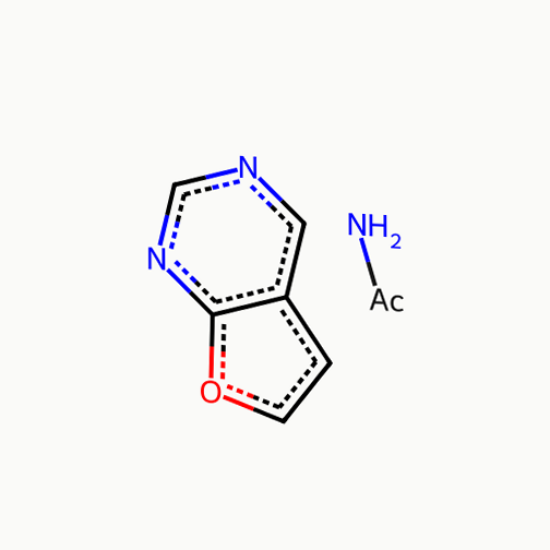 CC(N)=O.c1ncc2ccoc2n1